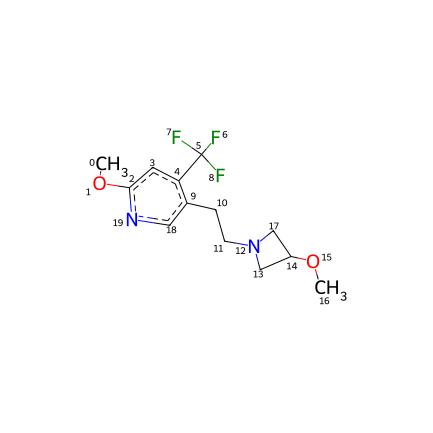 COc1cc(C(F)(F)F)c(CCN2CC(OC)C2)cn1